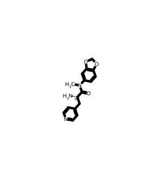 CN(C(=O)[C@@H](N)Cc1ccncc1)c1ccc2c(c1)OCO2